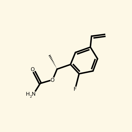 C=Cc1ccc(F)c([C@@H](C)OC(N)=O)c1